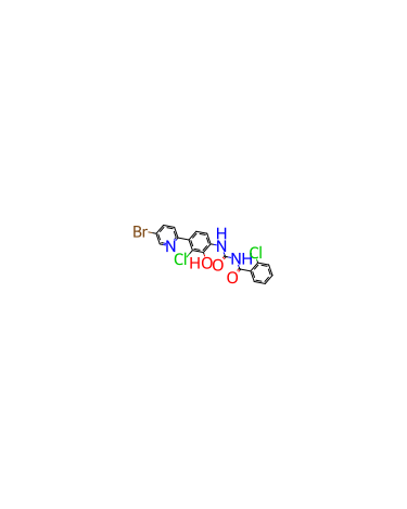 O=C(NC(=O)c1ccccc1Cl)Nc1ccc(-c2ccc(Br)cn2)c(Cl)c1O